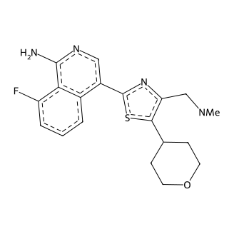 CNCc1nc(-c2cnc(N)c3c(F)cccc23)sc1C1CCOCC1